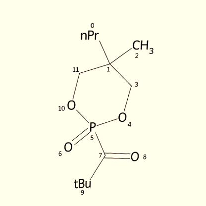 CCCC1(C)COP(=O)(C(=O)C(C)(C)C)OC1